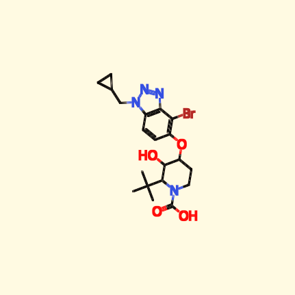 CC(C)(C)C1C(O)C(Oc2ccc3c(nnn3CC3CC3)c2Br)CCN1C(=O)O